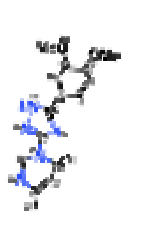 COc1ccc(-c2nc(N3C=NC(C)=CC3C)n[nH]2)cc1OC